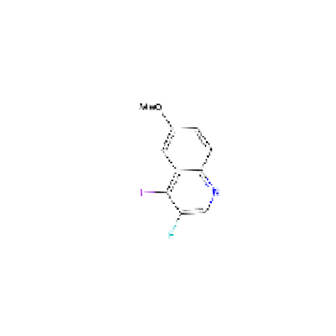 COc1ccc2ncc(F)c(I)c2c1